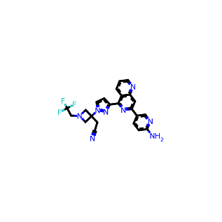 N#CCC1(n2ccc(-c3nc(-c4ccc(N)nc4)cc4ncccc34)n2)CN(CC(F)(F)F)C1